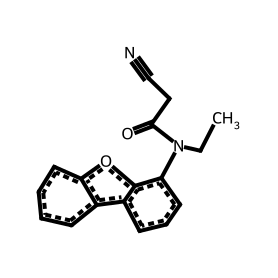 CCN(C(=O)CC#N)c1cccc2c1oc1ccccc12